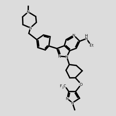 CCNc1cc2c(cn1)c(-c1ccc(CN3CCN(C)CC3)cc1)nn2C1CCC(Oc2cn(C)nc2C(F)(F)F)CC1